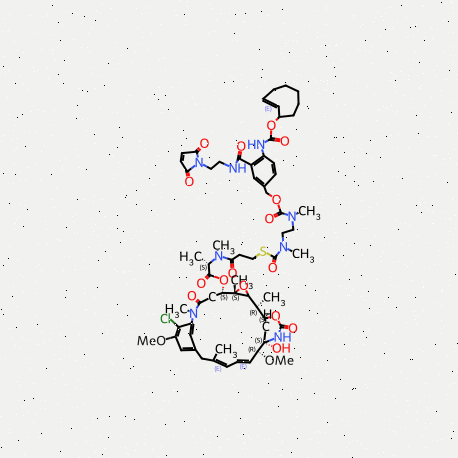 COc1cc2cc(c1Cl)N(C)C(=O)C[C@H](OC(=O)[C@H](C)N(C)C(=O)CCSC(=O)N(C)CCN(C)C(=O)OCc1ccc(NC(=O)OC3/C=C/CCCCC3)c(C(=O)NCCN3C(=O)C=CC3=O)c1)[C@]1(C)OC1[C@H](C)[C@@H]1C[C@@](O)(NC(=O)O1)[C@H](OC)/C=C/C=C(\C)C2